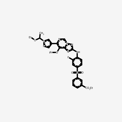 CCOC(=O)c1cccc(S(=O)(=O)c2ccc(Nc3nc4c(OC(C)C)c(-c5cnn(C(C)OCC)c5)ncn4n3)c(F)c2)c1